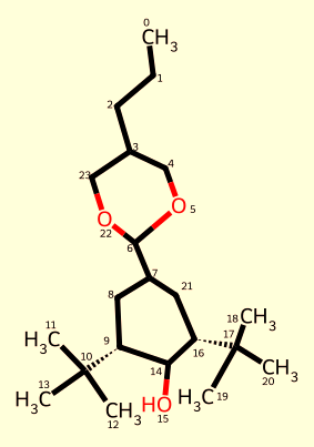 CCCC1COC(C2C[C@@H](C(C)(C)C)C(O)[C@@H](C(C)(C)C)C2)OC1